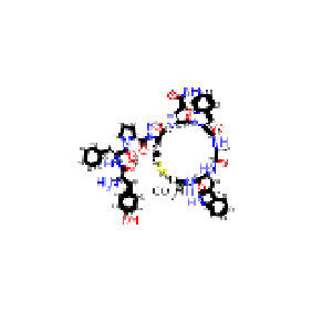 C[C@@H]1NC(=O)[C@H](Cc2ccccc2)NC(=O)[C@H](CCC(N)=O)NC(=O)[C@H](NC(=O)[C@@H]2CCCN2C(=O)[C@H](Cc2ccccc2)NC(=O)[C@H](N)Cc2ccc(O)cc2)CCSSC[C@@H](C(=O)O)NC(=O)[C@H](Cc2c[nH]c3ccccc23)NC1=O